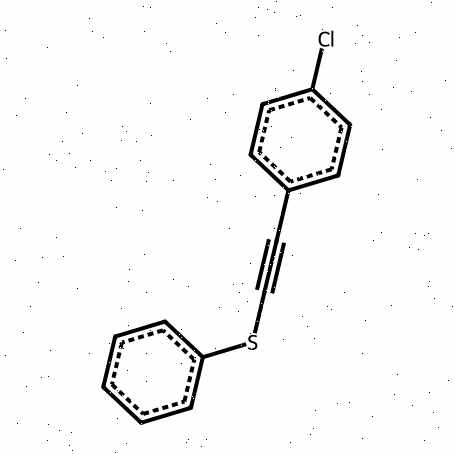 Clc1ccc(C#CSc2ccccc2)cc1